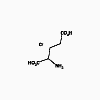 NC(CCC(=O)O)C(=O)O.[Cr]